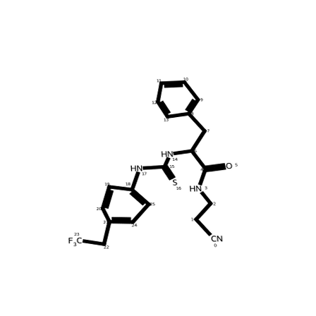 N#CCCNC(=O)C(Cc1ccccc1)NC(=S)Nc1ccc(CC(F)(F)F)cc1